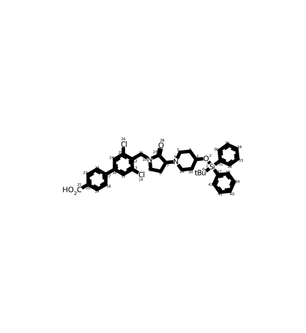 CC(C)(C)[Si](OC1CCN(C2CCN(Cc3c(Cl)cc(-c4ccc(C(=O)O)cc4)cc3Cl)C2=O)CC1)(c1ccccc1)c1ccccc1